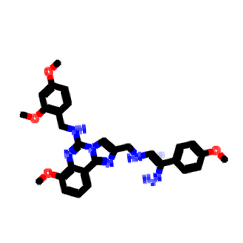 COc1ccc(/C(N)=C/NCc2cn3c(NCc4ccc(OC)cc4OC)nc4c(OC)cccc4c3n2)cc1